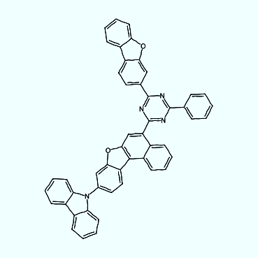 c1ccc(-c2nc(-c3ccc4c(c3)oc3ccccc34)nc(-c3cc4oc5cc(-n6c7ccccc7c7ccccc76)ccc5c4c4ccccc34)n2)cc1